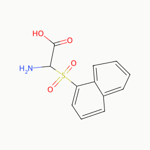 NC(C(=O)O)S(=O)(=O)c1cccc2ccccc12